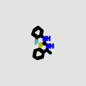 CC(NC(=S)Nc1ccccc1F)c1ccccc1